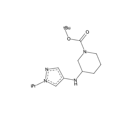 CC(C)n1cc(NC2CCCN(C(=O)OC(C)(C)C)C2)cn1